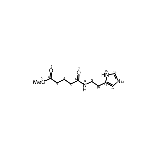 COC(=O)CCCC(=O)NCCc1cnc[nH]1